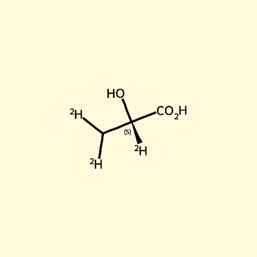 [2H]C([2H])[C@]([2H])(O)C(=O)O